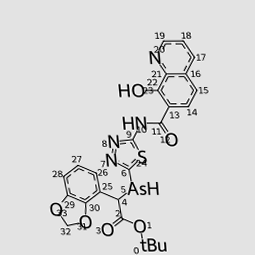 CC(C)(C)OC(=O)C([AsH]c1nnc(NC(=O)c2ccc3cccnc3c2O)s1)c1cccc2c1OCO2